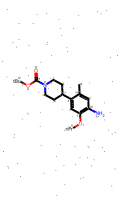 CCCOc1cc(C2CCN(C(=O)OC(C)(C)C)CC2)c(C)cc1N